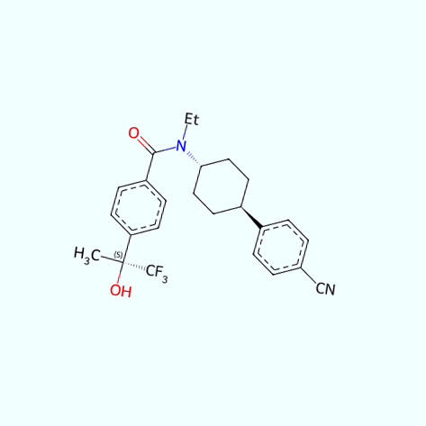 CCN(C(=O)c1ccc([C@](C)(O)C(F)(F)F)cc1)[C@H]1CC[C@H](c2ccc(C#N)cc2)CC1